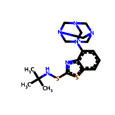 CC(C)(C)NSc1nc2c([N+]34CN5CN(CN(C5)C3)C4)cccc2s1